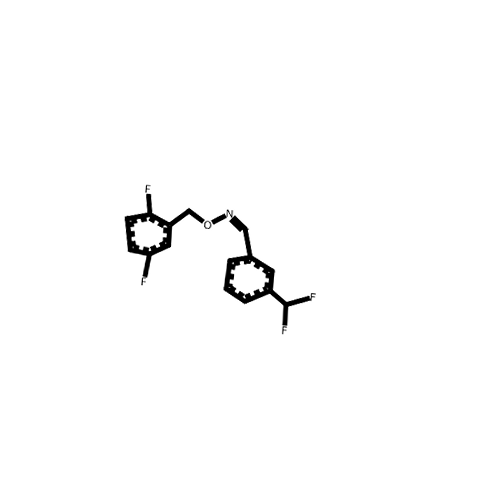 Fc1ccc(F)c(CO/N=[C]\c2cccc(C(F)F)c2)c1